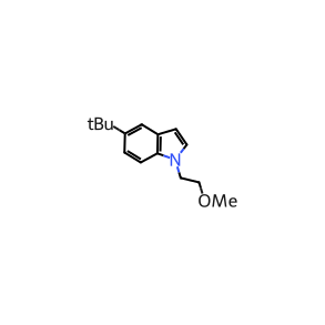 COCCn1ccc2cc(C(C)(C)C)ccc21